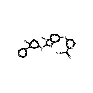 CNC(=O)c1cc(Oc2ccc3c(c2)nc(Nc2ccc(F)c(-c4ccncc4)c2)n3C)ccn1